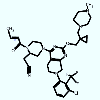 C/C=C/C(=O)N1CCN(c2nc(OCC3(CN4CCN(C)CC4)CC3)nc3c2CCN(c2cccc(Cl)c2C(F)(F)F)C3)CC1CC#N